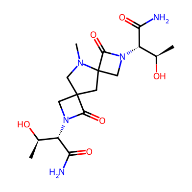 C[C@@H](O)[C@@H](C(N)=O)N1CC2(CN(C)C3(CN([C@H](C(N)=O)[C@@H](C)O)C3=O)C2)C1=O